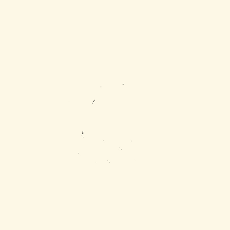 CN(C)c1nc(=O)c2ncn([C@H]3C[C@H](O)[C@@H](COP(=O)(O)O)O3)c2n1C